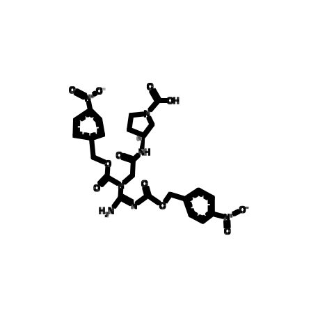 NC(=NC(=O)OCc1ccc([N+](=O)[O-])cc1)N(CC(=O)N[C@H]1CCN(C(=O)O)C1)C(=O)OCc1ccc([N+](=O)[O-])cc1